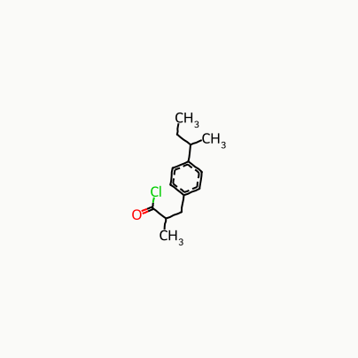 CCC(C)c1ccc(CC(C)C(=O)Cl)cc1